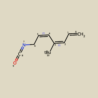 C=C/C=C(\C=C/CN=C=O)C(C)(C)C